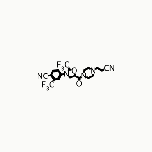 N#CCCN1CCN(C(=O)C2CN(c3ccc(C#N)c(C(F)(F)F)c3)C(C(F)(F)F)O2)CC1